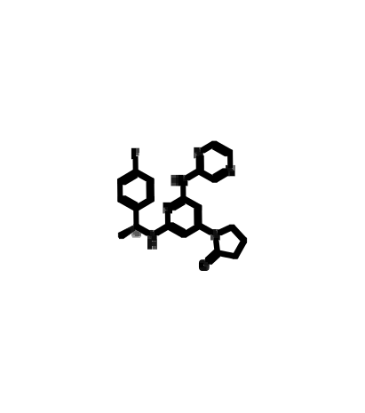 C[C@H](Nc1cc(N2CCCC2=O)cc(Nc2cnccn2)n1)c1ccc(F)cc1